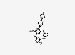 COc1cc(N2CCC(N3CCN(C)CC3)CC2)ccc1Nc1ncc(Cl)c(Nc2cccc(I)c2)n1